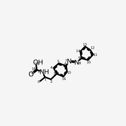 CC(Cc1ccc(N=Nc2ccccc2)cc1)NC(=O)O